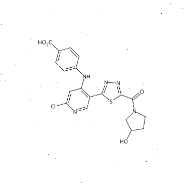 O=C(O)c1ccc(Nc2cc(Cl)ncc2-c2nnc(C(=O)N3CCC(O)C3)s2)cc1